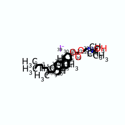 CC(C)CCC[C@@H](C)[C@H]1CC[C@H]2[C@@H]3CC=C4C[C@@H](OC(=O)OCC[N+](C)(C)C(C)O)CC[C@]4(C)[C@H]3CC[C@]12C.[I-]